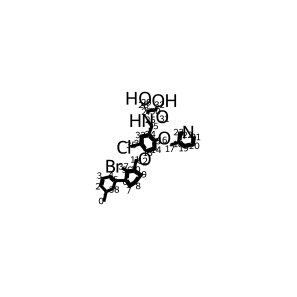 CC1C=CC=C(c2cccc(COc3cc(OCc4cccnc4)c(CN[C@H](CO)C(=O)O)cc3Cl)c2Br)C1